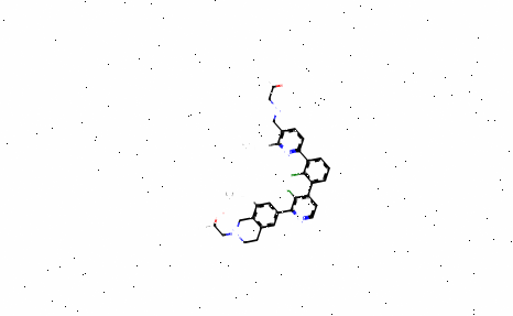 COc1cc(-c2nccc(-c3cccc(-c4ccc(CNC[C@@H](C)O)c(OC)n4)c3Cl)c2Cl)cc2c1CN(C[C@@H](C)O)CC2